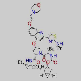 CC[C@@H]1CC1(NC(=O)[C@@H]1C[C@@H](Oc2cc(-c3csc(NC(C)C)n3)nc3cc(OCCN4CCOCC4)ccc23)CN1C(=O)[C@@H](NC(=O)O[C@@H]1C[C@@H]2C[C@@H]2C1)C(C)(C)C)C(=O)O